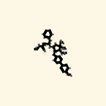 Cc1ccc(-c2ccc(C[C@H]3[C@H](C[C@@H](Cc4ccccc4)NC(=O)OC(C)(C)C)OC(C)(C)N3C(=O)O)cc2)cn1